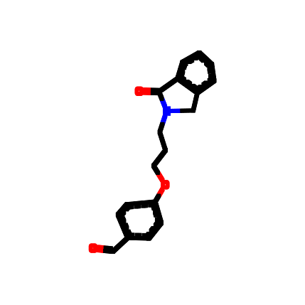 O=Cc1ccc(OCCCN2Cc3ccccc3C2=O)cc1